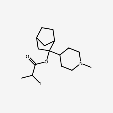 CC(I)C(=O)OC1(C2CCN(C)CC2)CC2CCC1C2